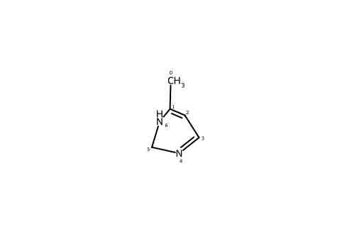 CC1=CC=NCN1